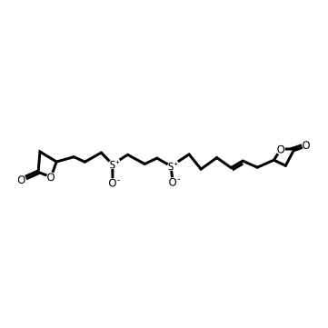 O=C1CC(CC=CCCC[S+]([O-])CCC[S+]([O-])CCCC2CC(=O)O2)O1